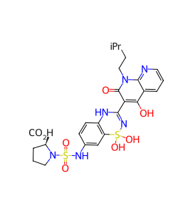 CC(C)CCn1c(=O)c(C2=NS(O)(O)c3cc(NS(=O)(=O)N4CCC[C@H]4C(=O)O)ccc3N2)c(O)c2cccnc21